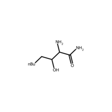 CCCCCC(O)C(N)C(N)=O